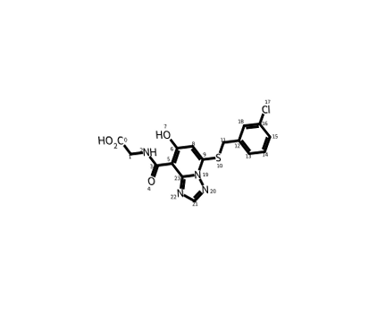 O=C(O)CNC(=O)c1c(O)cc(SCc2cccc(Cl)c2)n2ncnc12